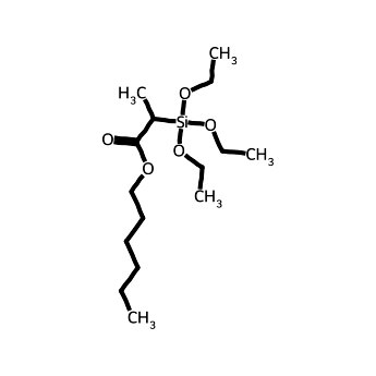 CCCCCCOC(=O)C(C)[Si](OCC)(OCC)OCC